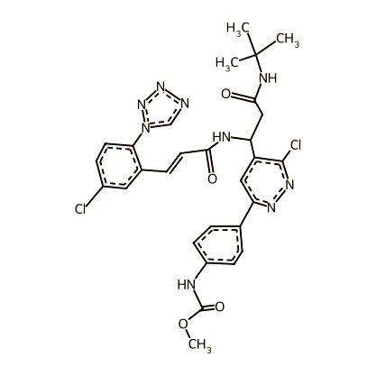 COC(=O)Nc1ccc(-c2cc(C(CC(=O)NC(C)(C)C)NC(=O)/C=C/c3cc(Cl)ccc3-n3cnnn3)c(Cl)nn2)cc1